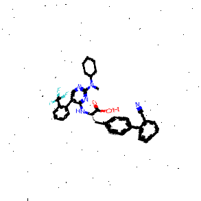 CN(c1ncc(-c2ccccc2C(F)(F)F)c(N[C@@H](Cc2ccc(-c3ccccc3C#N)cc2)C(=O)O)n1)C1CCCCC1